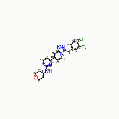 Fc1cc(Cc2nnc3cc(-c4ccnc(NC5CCOCC5)n4)ccn23)ccc1Cl